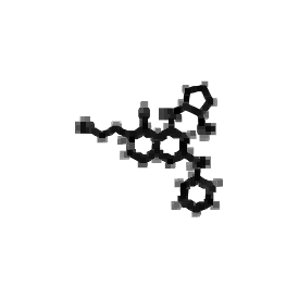 O=c1c2c(N[C@H]3CCC[C@H]3O)nc(Nc3cnccn3)cc2ccn1CCO